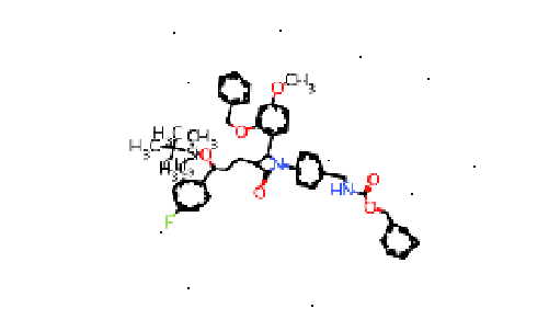 COc1ccc([C@@H]2C(CC[C@H](O[Si](C)(C)C(C)(C)C)c3ccc(F)cc3)C(=O)N2c2ccc(CNC(=O)OCc3ccccc3)cc2)c(OCc2ccccc2)c1